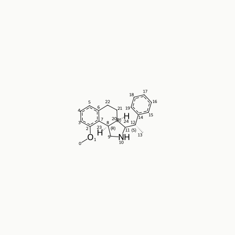 COc1cccc2c1[C@@H]1CNC([C@@H](C)c3ccccc3)[C@@H]1CC2